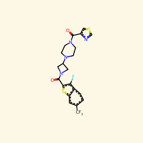 O=C(c1cscn1)N1CCN(C2CN(C(=O)c3sc4cc(C(F)(F)F)ccc4c3F)C2)CC1